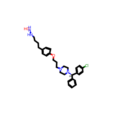 ONNCCCCc1ccc(OCCCN2CCN([C@H](c3ccccc3)c3ccc(Cl)cc3)CC2)cc1